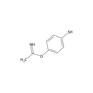 CC(=N)Oc1ccc(S)cc1